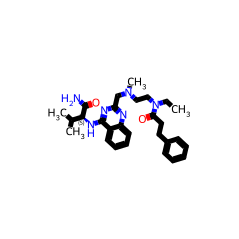 CCN(CCN(C)Cc1nc(N[C@H](C(N)=O)C(C)C)c2ccccc2n1)C(=O)CCc1ccccc1